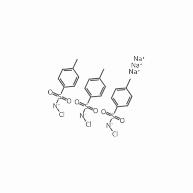 Cc1ccc(S(=O)(=O)[N-]Cl)cc1.Cc1ccc(S(=O)(=O)[N-]Cl)cc1.Cc1ccc(S(=O)(=O)[N-]Cl)cc1.[Na+].[Na+].[Na+]